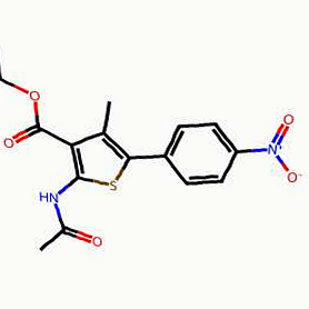 CCOC(=O)c1c(NC(C)=O)sc(-c2ccc([N+](=O)[O-])cc2)c1C